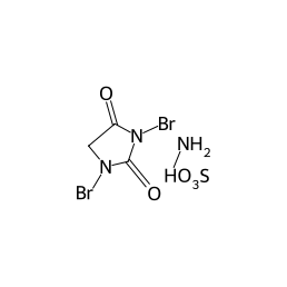 NS(=O)(=O)O.O=C1CN(Br)C(=O)N1Br